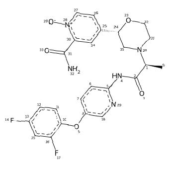 C[C@@H](C(=O)Nc1ccc(Oc2ccc(F)cc2F)cn1)N1CCO[C@@H](c2cc[n+]([O-])c(C(N)=O)c2)C1